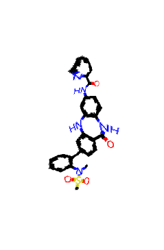 CN(c1ccccc1-c1ccc2c(c1)Nc1cc(NC(=O)c3ccccn3)ccc1NC2=O)S(C)(=O)=O